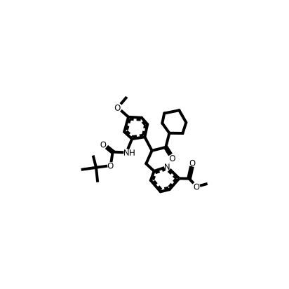 COC(=O)c1cccc(CC(C(=O)C2CCCCC2)c2ccc(OC)cc2NC(=O)OC(C)(C)C)n1